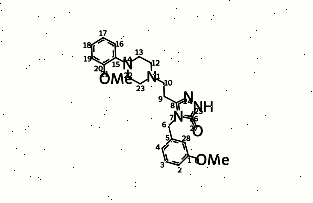 COc1cccc(Cn2c(CCN3CCN(c4ccccc4OC)CC3)n[nH]c2=O)c1